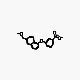 COCc1ccc2c(Oc3cccc([N+](=O)[O-])c3)cccc2c1